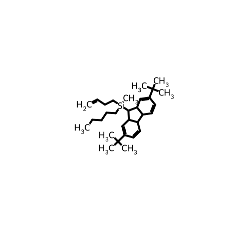 C=CCC[Si](C)(CCCCC)C1C2C=C(C(C)(C)C)C=CC2C2C=CC(C(C)(C)C)=CC21